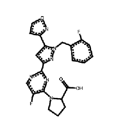 O=C(O)C1CCCN1c1nc(-c2cc(-c3ccon3)n(Cc3ccccc3F)n2)ncc1F